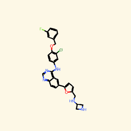 Fc1cccc(COc2ccc(Nc3ncnc4ccc(-c5ccc(CNC6CNC6)o5)cc34)cc2Cl)c1